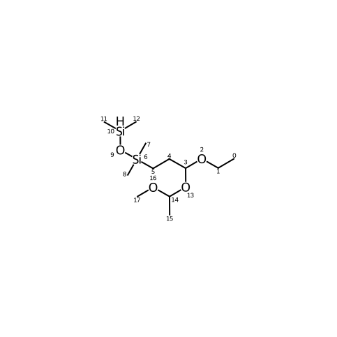 CCOC(CC[Si](C)(C)O[SiH](C)C)OC(C)OC